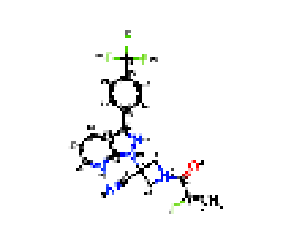 C=C(F)C(=O)N1CC(C#N)(n2nc(-c3ccc(C(F)(F)F)cc3)c3cccnc32)C1